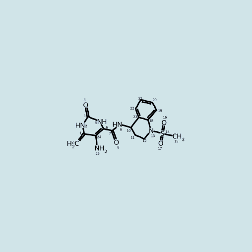 C=C1NC(=O)NC(C(=O)NC2CCN(S(C)(=O)=O)c3ccccc32)=C1N